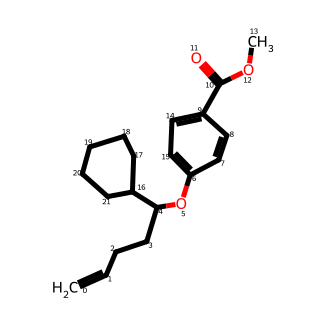 C=CCCC(Oc1ccc(C(=O)OC)cc1)C1CCCCC1